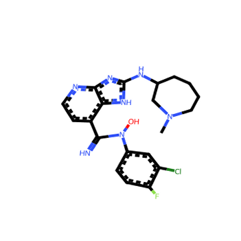 CN1CCCCC(Nc2nc3nccc(C(=N)N(O)c4ccc(F)c(Cl)c4)c3[nH]2)C1